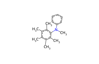 Cc1c(C)c(C)c(N(C)c2ccccc2)c(C)c1C